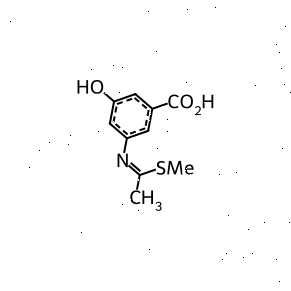 CS/C(C)=N\c1cc(O)cc(C(=O)O)c1